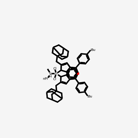 CCC[SiH](C)[Zr]([Cl])([Cl])([CH]1C(CC23CC4CC(CC(C4)C2)C3)=Cc2c(-c3ccc(C(C)CC)cc3)cccc21)[CH]1C(CC23CC4CC(CC(C4)C2)C3)=Cc2c(-c3ccc(C(C)CC)cc3)cccc21